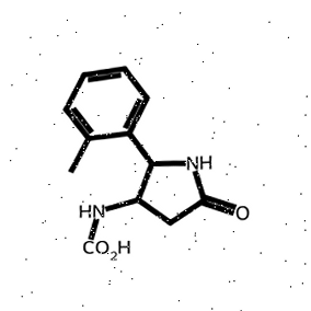 Cc1ccccc1C1NC(=O)CC1NC(=O)O